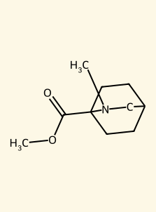 COC(=O)C12CCC(CC1)CN2C